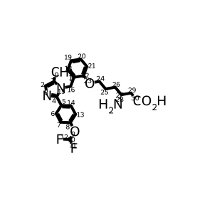 Cc1cnc(-c2ccc(OC(F)F)cc2)n1Cc1ccccc1OCCC[C@@H](N)CC(=O)O